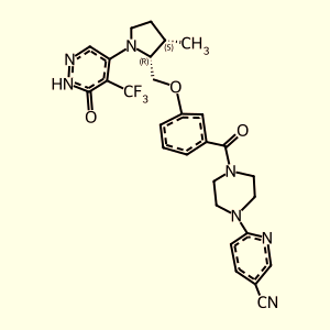 C[C@H]1CCN(c2cn[nH]c(=O)c2C(F)(F)F)[C@H]1COc1cccc(C(=O)N2CCN(c3ccc(C#N)cn3)CC2)c1